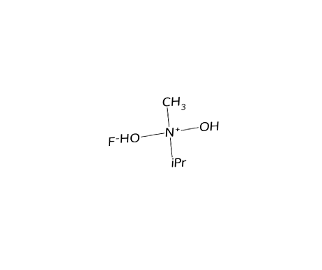 CC(C)[N+](C)(O)O.[F-]